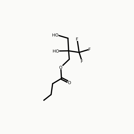 CCCC(=O)OCC(O)(CO)C(F)(F)F